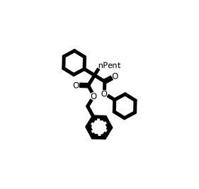 CCCCCC(C(=O)OCc1ccccc1)(C(=O)OC1CCCCC1)C1CCCCC1